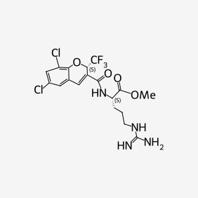 COC(=O)[C@H](CCCNC(=N)N)NC(=O)C1=Cc2cc(Cl)cc(Cl)c2O[C@@H]1C(F)(F)F